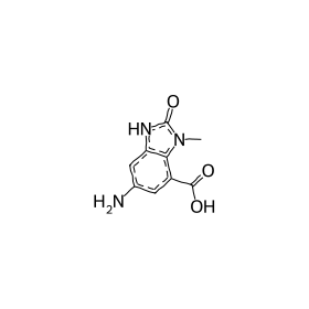 Cn1c(=O)[nH]c2cc(N)cc(C(=O)O)c21